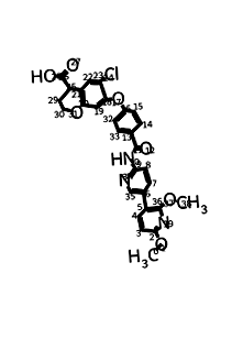 COc1ccc(-c2ccc(NC(=O)c3ccc(Oc4cc5c(cc4Cl)C(C(=O)O)CCO5)cc3)nc2)c(OC)n1